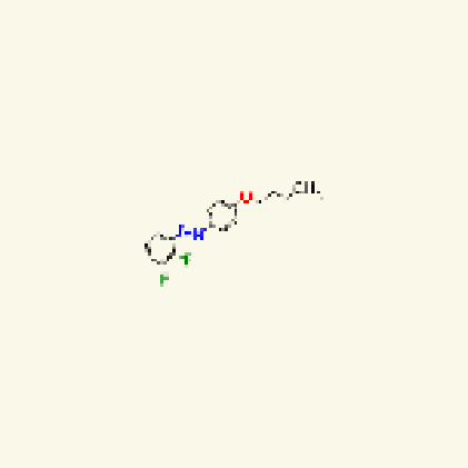 CCCCOc1ccc(N=Nc2cccc(F)c2F)cc1